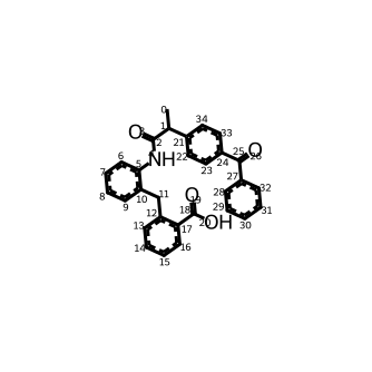 CC(C(=O)Nc1ccccc1Cc1ccccc1C(=O)O)c1ccc(C(=O)c2ccccc2)cc1